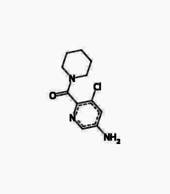 Nc1cnc(C(=O)N2CCCCC2)c(Cl)c1